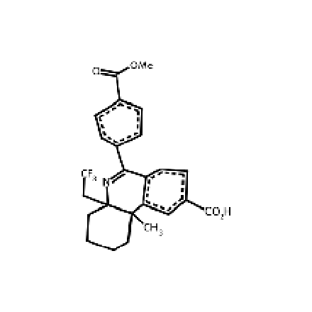 COC(=O)c1ccc(C2=NC3(CC(F)(F)F)CCCCC3(C)c3cc(C(=O)O)ccc32)cc1